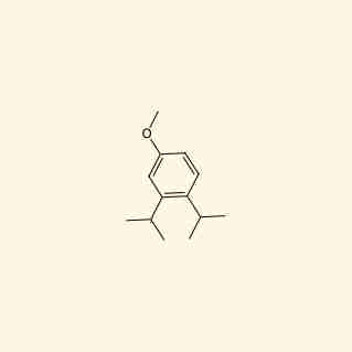 COc1ccc(C(C)C)c([C](C)C)c1